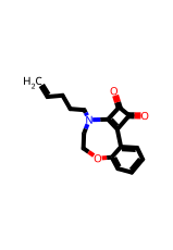 C=CCCCN1CCOc2ccccc2-c2c1c(=O)c2=O